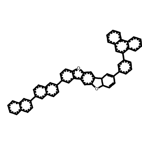 C1=CC2Oc3cc4c(cc3C2C=C1c1cccc(-c2cc3ccccc3c3ccccc23)c1)oc1ccc(-c2ccc3cc(-c5ccc6ccccc6c5)ccc3c2)cc14